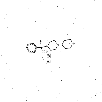 CC(=O)C(C(=O)O)(c1ccccc1)N1CCN(C2CCNCC2)CC1.Cl.Cl.Cl